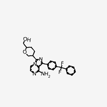 Nc1nccn2c(C3CCC(CO)OC3)nc(-c3ccc(C(F)(F)c4ccccc4)cc3)c12